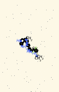 C=C(c1c(F)ccc(NSN(C)CC)c1F)C1CNc2ncc(-c3ccc(N4CCN(C(=C)CC5CCNc6ccc(N)cc6CC5)CC4)nc3)cc21